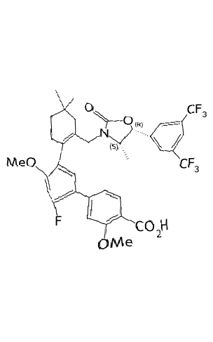 COc1cc(-c2cc(C3=C(CN4C(=O)O[C@H](c5cc(C(F)(F)F)cc(C(F)(F)F)c5)[C@@H]4C)CC(C)(C)CC3)c(OC)cc2F)ccc1C(=O)O